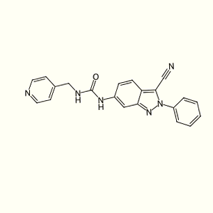 N#Cc1c2ccc(NC(=O)NCc3ccncc3)cc2nn1-c1ccccc1